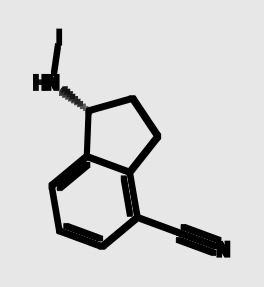 N#Cc1cccc2c1CC[C@H]2NI